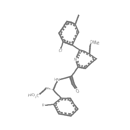 COc1ccc(C(=O)N[C@@H](CC(=O)O)c2ccccc2F)nc1-c1cc(C)ccc1Cl